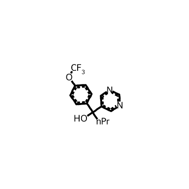 CCCC(O)(c1ccc(OC(F)(F)F)cc1)c1cncnc1